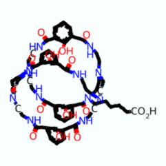 O=C(O)CCCCCN1CCN2CCNC(=O)c3cccc(c3O)C(=O)NCCN(CCNC(=O)c3cccc(c3O)C1=O)CCN1CCNC(=O)c3cccc(c3O)C(=O)NCCN(CCNC(=O)c3cccc(c3O)C(=O)NCC1)CC2